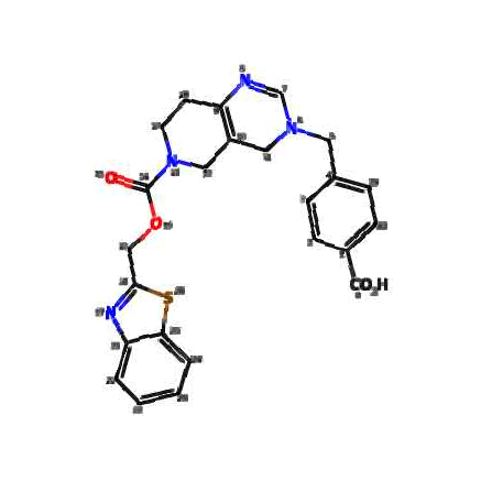 O=C(O)c1ccc(CN2C=NC3=C(C2)CN(C(=O)OCc2nc4ccccc4s2)CC3)cc1